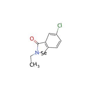 CCn1[se]c2ccc(Cl)cc2c1=O